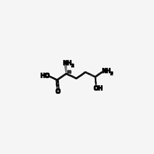 NC(O)CC[C@@H](N)C(=O)O